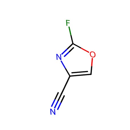 N#Cc1coc(F)n1